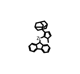 CC1C=CC(C23CC4CC(CC(C4)C2)C3)=[C]1[Zr][CH]1c2ccccc2-c2ccccc21